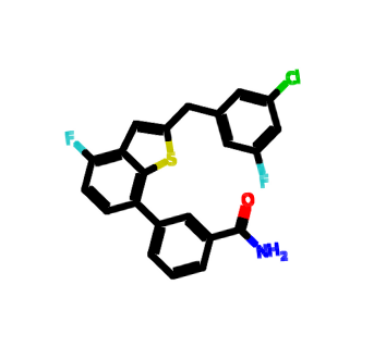 NC(=O)c1cccc(-c2ccc(F)c3cc(Cc4cc(F)cc(Cl)c4)sc23)c1